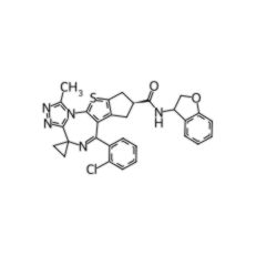 Cc1nnc2n1-c1sc3c(c1C(c1ccccc1Cl)=NC21CC1)C[C@H](C(=O)NC1COc2ccccc21)C3